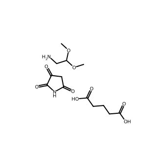 COC(CN)OC.O=C(O)CCCC(=O)O.O=C1CC(=O)C(=O)N1